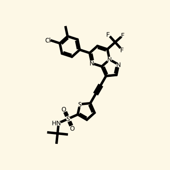 Cc1cc(-c2cc(C(F)(F)F)n3ncc(C#Cc4ccc(S(=O)(=O)NC(C)(C)C)s4)c3n2)ccc1Cl